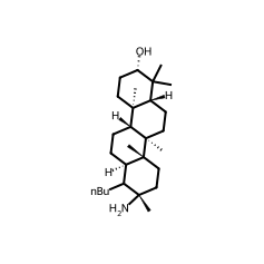 CCCCC1[C@H]2CC[C@@H]3[C@@]4(C)CC[C@H](O)C(C)(C)[C@@H]4CC[C@@]3(C)[C@]2(C)CC[C@]1(C)N